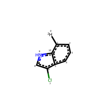 [2H]c1cccc2c(Cl)c[nH]c12